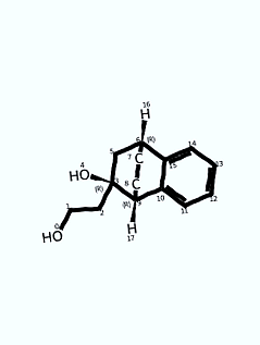 OCC[C@]1(O)C[C@H]2CC[C@@H]1c1ccccc12